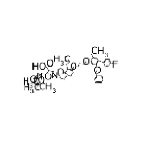 CCCc1c(OCCCOc2cc(OCc3ccccc3)c(-c3ccc(F)cc3)cc2CC)ccc2c1OC(N(C=O)CC(CCN(C=O)OC(C)(C)C)C(=O)O)CC2